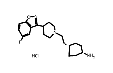 Cl.N[C@H]1CC[C@H](CCN2CCC(c3noc4ccc(F)cc34)CC2)CC1